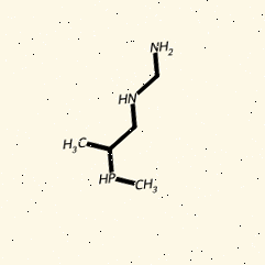 CPC(C)CNCN